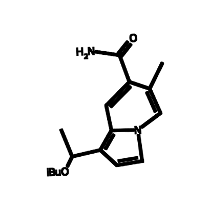 Cc1cn2ccc(C(C)OCC(C)C)c2cc1C(N)=O